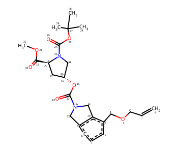 C=CCOCc1cccc2c1CN(C(=O)O[C@@H]1C[C@@H](C(=O)OC)N(C(=O)OC(C)(C)C)C1)C2